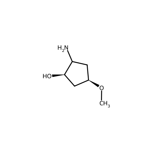 CO[C@@H]1CC(N)[C@H](O)C1